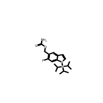 CC(C)[Si](C(C)C)(C(C)C)n1ccc2cc(COC(N)=O)c(F)cc21